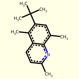 Cc1ccc2c(C)c(C(C)(C)C)cc(C)c2n1